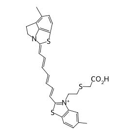 Cc1ccc2sc(/C=C/C=C/C=C/C=C3\Sc4ccc(C)c5c4N3CC5)[n+](CCSCC(=O)O)c2c1